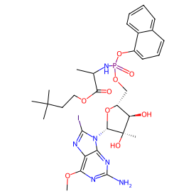 COc1nc(N)nc2c1nc(I)n2[C@@H]1O[C@H](COP(=O)(NC(C)C(=O)OCCC(C)(C)C)Oc2cccc3ccccc23)[C@@H](O)[C@@]1(C)O